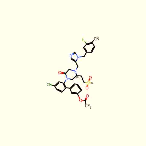 CS(=O)(=O)CC[C@H]1CN(c2cc(Cl)ccc2-c2cccc(OC(=O)C(F)(F)F)c2)C(=O)CN1Cc1cncn1Cc1ccc(C#N)c(F)c1